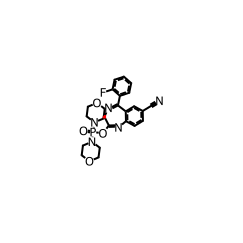 N#Cc1ccc2c(c1)C(c1ccccc1F)=NCC(OP(=O)(N1CCOCC1)N1CCOCC1)=N2